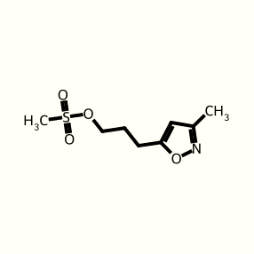 Cc1cc(CCCOS(C)(=O)=O)on1